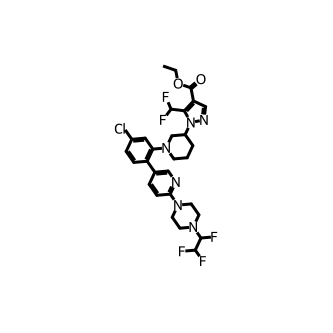 CCOC(=O)c1cnn(C2CCCN(c3cc(Cl)ccc3-c3ccc(N4CCN(C(F)C(F)F)CC4)nc3)C2)c1C(F)F